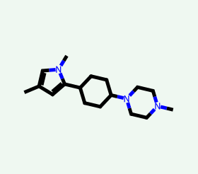 Cc1cc(C2CCC(N3CCN(C)CC3)CC2)n(C)c1